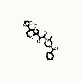 CC1CN(C(=O)c2ccccc2)CCN1C(=O)C(=O)c1c[nH]c2c(-c3ncco3)ccnc12